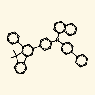 CC1(C)c2ccccc2-c2cc(-c3ccc(N(c4ccc(-c5ccccc5)cc4)c4cccc5ccccc45)cc3)cc(-c3ccccc3)c21